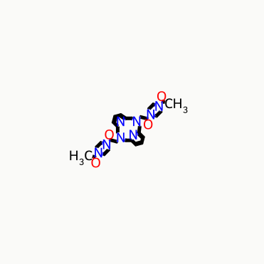 CC(=O)N1CCN(C(=O)CN2Cc3cccc(n3)CN(CC(=O)N3CCN(C(C)=O)CC3)Cc3cccc(n3)C2)CC1